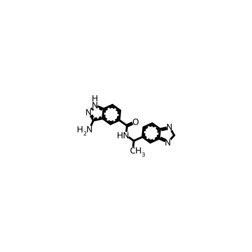 CC(NC(=O)c1ccc2[nH]nc(N)c2c1)c1ccc2c(c1)=NCN=2